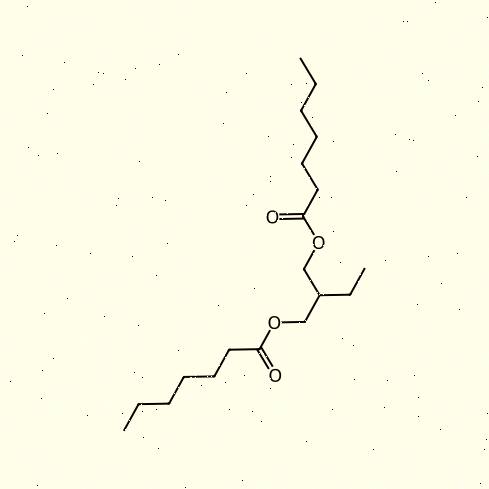 CCCCCCC(=O)OCC(CC)COC(=O)CCCCCC